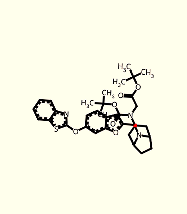 CC(C)(C)OC(=O)CN(C(=O)OC(C)(C)C)C1CC2CCC(C1)N2Cc1cc2ccc(Oc3nc4ccccc4s3)cc2o1